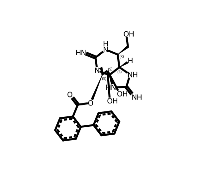 N=C1N[C@H]2[C@H](CO)NC(=N)N3C[C@H](OC(=O)c4ccccc4-c4ccccc4)C(O)(O)[C@]23N1